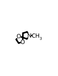 CN1CCC2(C1)OCCO2